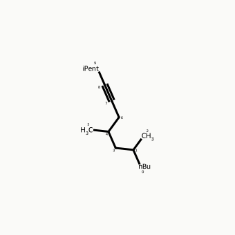 [CH2]CCCC(C)CC(C)CC#CC(C)CC[CH2]